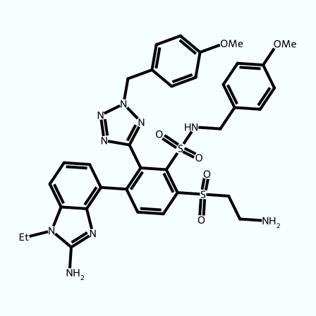 CCn1c(N)nc2c(-c3ccc(S(=O)(=O)CCN)c(S(=O)(=O)NCc4ccc(OC)cc4)c3-c3nnn(Cc4ccc(OC)cc4)n3)cccc21